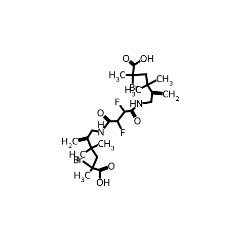 C=C(CNC(=O)C(F)C(F)C(=O)NCC(=C)C(C)(C)CC(C)(Br)C(=O)O)C(C)(C)CC(C)(Br)C(=O)O